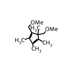 COCC1=C(C)C(C)=C(C)C1(C)COC